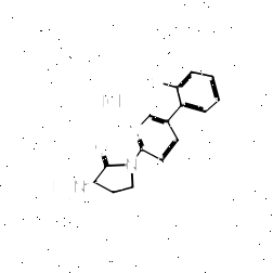 Cl.N[C@H]1CCN(c2ccc(-c3ccccc3C(F)(F)F)cn2)C1=O